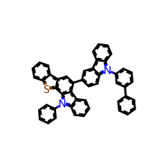 c1ccc(-c2cccc(-n3c4ccccc4c4cc(-c5cc6c7ccccc7sc6c6c5c5ccccc5n6-c5ccccc5)ccc43)c2)cc1